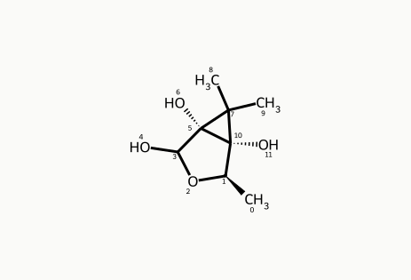 C[C@H]1OC(O)[C@@]2(O)C(C)(C)[C@@]12O